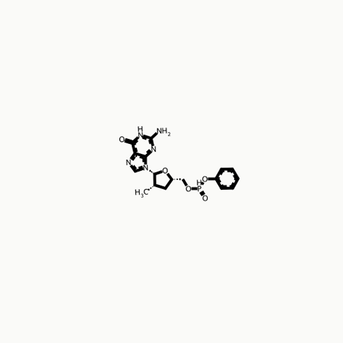 C[C@H]1C[C@@H](CO[PH](=O)Oc2ccccc2)O[C@H]1n1cnc2c(=O)[nH]c(N)nc21